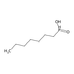 CCCC[CH]CC[PH](=O)O